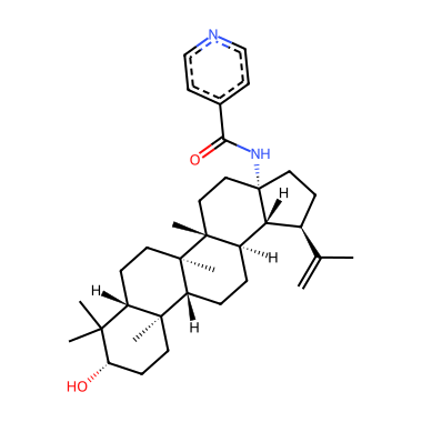 C=C(C)[C@@H]1CC[C@]2(NC(=O)c3ccncc3)CC[C@]3(C)[C@H](CC[C@@H]4[C@@]5(C)CC[C@H](O)C(C)(C)[C@@H]5CC[C@]43C)[C@@H]12